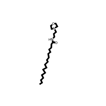 CCCCCCCCCCCCCCCCCC(=O)NCCCN1CCOCC1